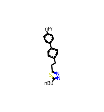 CCCCc1nnc(CCc2ccc(-c3ccc(CCC)cc3)cc2)s1